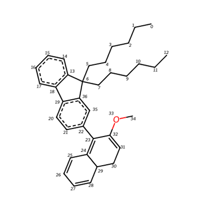 CCCCCCC1(CCCCCC)c2ccccc2-c2ccc(C3=C4C=CC=CC4CC=C3OC)cc21